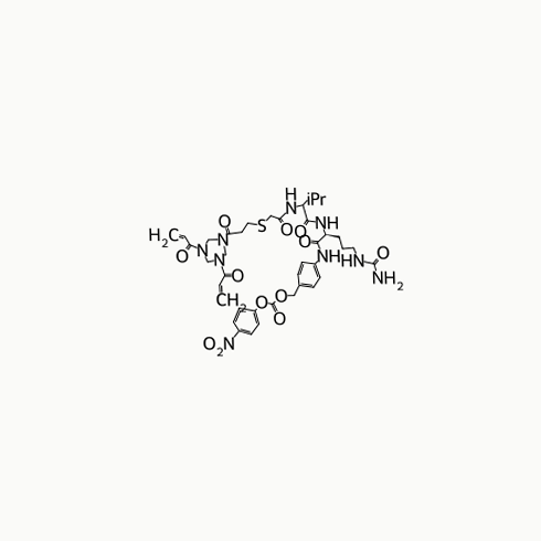 C=CC(=O)N1CN(C(=O)C=C)CN(C(=O)CCSCC(=O)NC(C(=O)N[C@@H](CCCNC(N)=O)C(=O)Nc2ccc(COC(=O)Oc3ccc([N+](=O)[O-])cc3)cc2)C(C)C)C1